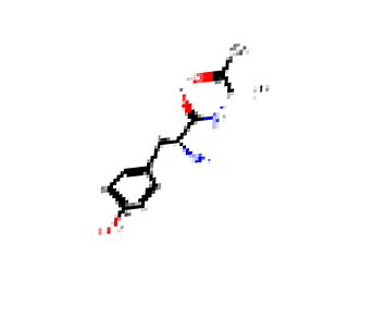 CC[C@H](C)[C@H](NC(=O)[C@@H](N)Cc1ccc(O)cc1)C(=O)OC